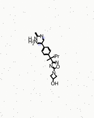 C=C(N)/N=C\C(=C/N)c1ccc(C(C)(c2noc(N3CC(O)C3)n2)C(C)C)cc1